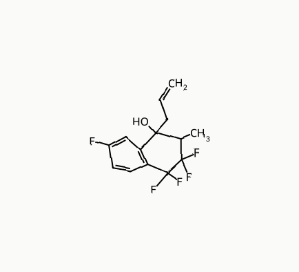 C=CCC1(O)c2cc(F)ccc2C(F)(F)C(F)(F)C1C